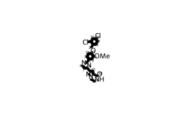 COc1cc(-c2nccc(-c3cc4n(n3)CCNC4=O)n2)ccc1OCc1ccc(Cl)cc1Cl